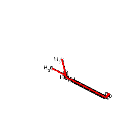 CCCCCCCCCCCCCCCCCC(=O)OC[C@H](COP(=O)(O)OCCNC(=O)OCCOOOOOOOOOOOOOOOOOOOOOOOOOOOOOOOOOOOOOOOOOOOO/C=C\NC(=O)CCN1C(=O)C=CC1=O)OC(=O)CCCCCCCCCCCCCCCCC